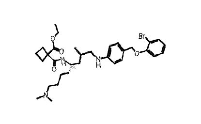 CCOC(=O)C1(C(=O)N[C@@H](CCCCN(C)C)CC(C)CNc2ccc(COc3ccccc3Br)cc2)CCC1